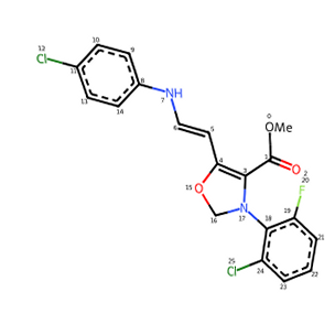 COC(=O)C1=C(C=CNc2ccc(Cl)cc2)OCN1c1c(F)cccc1Cl